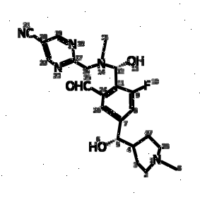 CN1CCC([C@H](O)c2cc(F)c([C@@H](O)N(C)Cc3ncc(C#N)cn3)c(C=O)c2)CC1